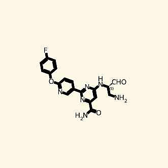 NC[C@@H](C=O)Nc1cc(C(N)=O)nc(-c2ccc(Oc3ccc(F)cc3)nc2)n1